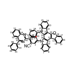 N#Cc1cc(-n2c3ccccc3c3c4c5ccccc5oc4c4c5ccccc5n(-c5ccccc5)c4c32)ccc1-c1nc(-c2ccccc2)c2ccccc2n1